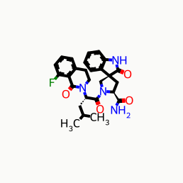 CC(C)C[C@@H](C(=O)N1C[C@]2(C[C@H]1C(N)=O)C(=O)Nc1ccccc12)N1CCc2cccc(F)c2C1=O